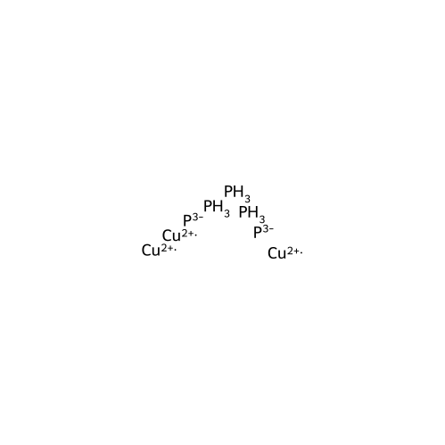 P.P.P.[Cu+2].[Cu+2].[Cu+2].[P-3].[P-3]